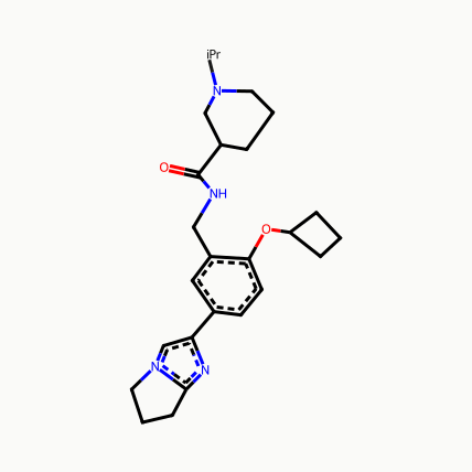 CC(C)N1CCCC(C(=O)NCc2cc(-c3cn4c(n3)CCC4)ccc2OC2CCC2)C1